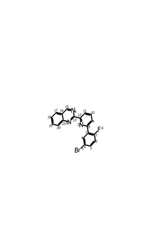 Fc1ccc(Br)cc1-c1cccc(-c2ncc3ccccc3n2)n1